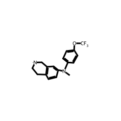 CN(c1ccc(OC(F)(F)F)cc1)c1ccc2c(c1)C[N]CC2